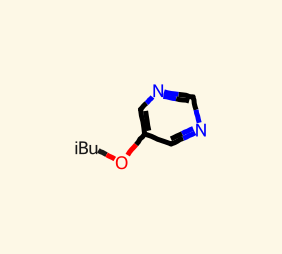 CCC(C)Oc1cncnc1